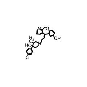 CC1CN(CC/C=C2/c3cc(O)ccc3OCc3ncccc32)CCC1(O)c1ccc(Cl)cc1